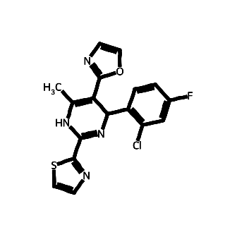 CC1=C(c2ncco2)C(c2ccc(F)cc2Cl)N=C(c2nccs2)N1